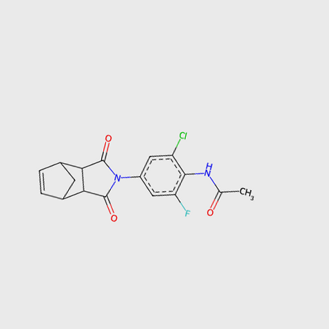 CC(=O)Nc1c(F)cc(N2C(=O)C3C4C=CC(C4)C3C2=O)cc1Cl